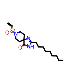 C=C[S+]([O-])N1CCC2(CC1)N=C(CCCCCCCCC)NC2=O